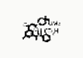 COCC1(C)CCN(c2cc(=O)c3cc(C)cc(C(C)Nc4ccccc4C(=O)O)c3o2)CC1